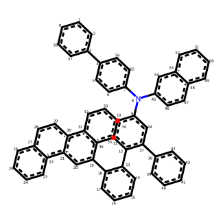 c1ccc(-c2ccc(N(c3ccc(-c4ccccc4-c4cc5c6ccccc6ccc5c5ccccc45)c(-c4ccccc4)c3)c3ccc4ccccc4c3)cc2)cc1